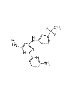 CC(C)Nc1cc(Nc2ccnc(C(C)(F)F)c2)nc(-c2cccc(N)n2)n1